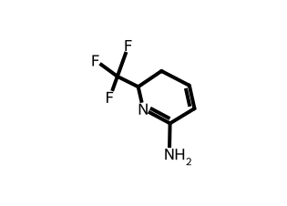 NC1=NC(C(F)(F)F)CC=C1